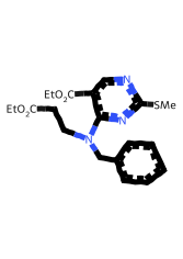 CCOC(=O)CCN(Cc1ccccc1)c1nc(SC)ncc1C(=O)OCC